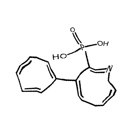 O=P(O)(O)c1ncccc1-c1ccccc1